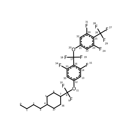 CCCCC1CCC(C(F)(F)Oc2cc(F)c(C(F)(F)Oc3cc(F)c(C(F)(F)F)c(F)c3)c(F)c2)CC1